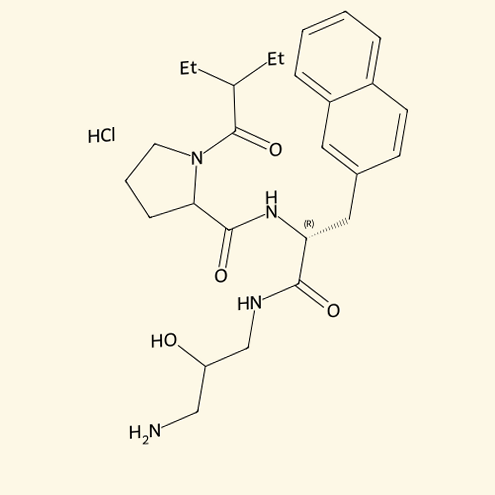 CCC(CC)C(=O)N1CCCC1C(=O)N[C@H](Cc1ccc2ccccc2c1)C(=O)NCC(O)CN.Cl